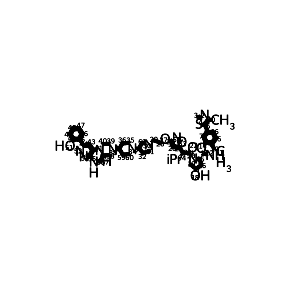 Cc1ncsc1-c1ccc([C@H](C)NC(=O)[C@@H]2C[C@@H](O)CN2C(=O)[C@@H](c2cc(OCCN3CC[C@@H](N4CCC(N5CCN6c7cc(-c8ccccc8O)nnc7NC[C@H]6C5)CC4)C3)no2)C(C)C)cc1